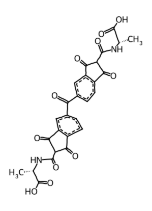 C[C@H](NC(=O)C1C(=O)c2ccc(C(=O)c3ccc4c(c3)C(=O)C(C(=O)N[C@@H](C)C(=O)O)C4=O)cc2C1=O)C(=O)O